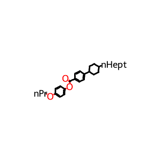 CCCCCCCC1CCC(c2ccc(C(=O)Oc3ccc(OCCC)cc3)cc2)CC1